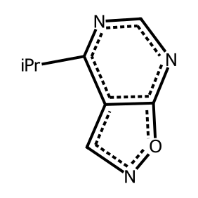 CC(C)c1ncnc2oncc12